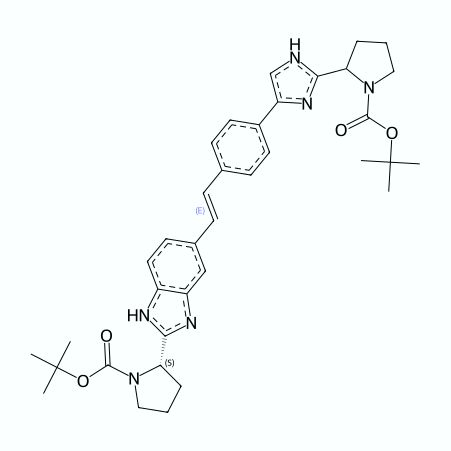 CC(C)(C)OC(=O)N1CCCC1c1nc(-c2ccc(/C=C/c3ccc4[nH]c([C@@H]5CCCN5C(=O)OC(C)(C)C)nc4c3)cc2)c[nH]1